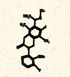 COc1c(F)cccc1N1Cc2c(C)c(I)c(C(OC(C)(C)C)C(=O)O)c(C)c2CC1=O